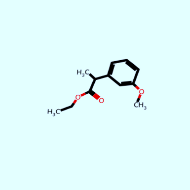 CCOC(=O)C(C)c1cccc(OC)c1